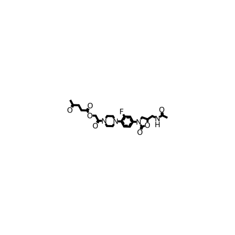 CC(=O)CCC(=O)OCC(=O)N1CCN(c2ccc(N3CC(CNC(C)=O)OC3=O)cc2F)CC1